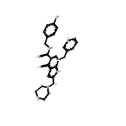 S=C(NCc1ccc(Cl)cc1)c1cn(Cc2cccnc2)c2sc(CN3CCOCC3)cc2c1=S